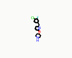 Fc1cc(Cc2cccc(OC3CCNCC3)n2)ccc1Cl